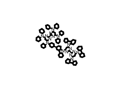 c1ccc(N(c2ccccc2)c2cc(N(c3ccccc3)c3ccccc3)nc(-c3nc(N(c4ccccc4)c4ccccc4)cc(N(c4ccccc4)c4ccc(-c5ccc6c(c5)c5ccccc5n6-c5cc(-n6c7ccccc7c7ccccc76)nc(-c6nc(-n7c8ccccc8c8ccccc87)cc(-n7c8ccccc8c8ccccc87)n6)n5)cc4)n3)n2)cc1